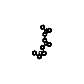 c1ccc(-c2cccc3c2oc2c(-c4cccc(-n5c6ccccc6c6cc(-c7ccc8c(c7)c7ccccc7n8-c7ccccc7)ccc65)c4)cccc23)cc1